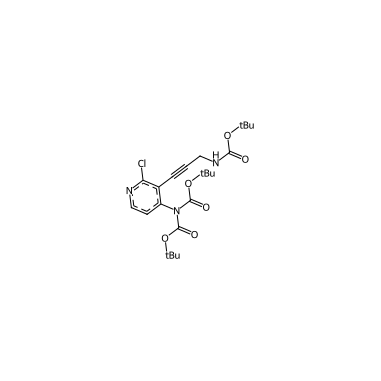 CC(C)(C)OC(=O)NCC#Cc1c(N(C(=O)OC(C)(C)C)C(=O)OC(C)(C)C)ccnc1Cl